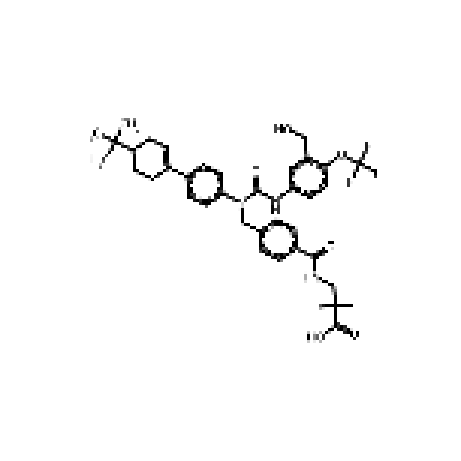 CC(C)(C)C1CC=C(c2ccc(N(Cc3ccc(C(=O)NCC(F)(F)C(=O)O)cc3)C(=O)Nc3ccc(OC(F)(F)F)c(CO)c3)cc2)CC1